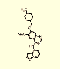 COc1cc2c(Nc3cccc4occc34)ncnc2cc1OCC1CCN(C)CC1